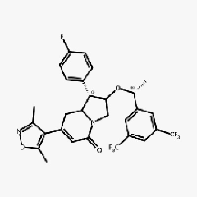 Cc1noc(C)c1C1=CC(=O)N2CC(O[C@H](C)c3cc(C(F)(F)F)cc(C(F)(F)F)c3)[C@@H](c3ccc(F)cc3)C2C1